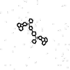 c1ccc(N(c2ccc(-c3ccc(N(c4ccccc4)c4ccc5c(c4)-c4cccc6cccc-5c46)cc3)cc2)c2ccc3c(c2)-c2cccc4cccc-3c24)cc1